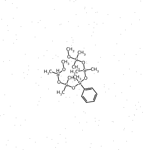 CO[SiH](C)O[Si](C)(C)O[Si](C)(O[Si](C)(C)O[Si](C)(C)OC)c1ccccc1